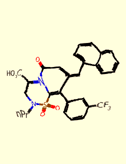 CCCN1CC(C(=O)O)n2c(c(-c3cccc(C(F)(F)F)c3)c(Cc3cccc4ccccc34)cc2=O)S1(=O)=O